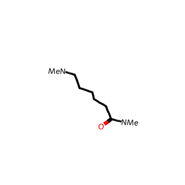 CNCCCCCC(=O)NC